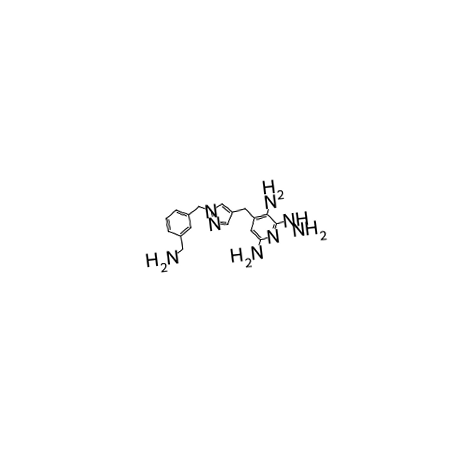 NCc1cccc(Cn2cc(Cc3cc(N)nc(NN)c3N)cn2)c1